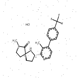 Cc1c(-c2ccc(C(F)(F)F)cc2)ccnc1[C@@H]1CC[C@]2(CCN(C)C2=O)N1.Cl